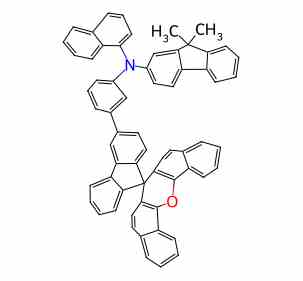 CC1(C)c2ccccc2-c2ccc(N(c3cccc(-c4ccc5c(c4)-c4ccccc4C54c5ccc6ccccc6c5Oc5c4ccc4ccccc54)c3)c3cccc4ccccc34)cc21